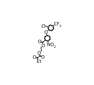 CCC(=O)C(=O)OCCOC(=O)c1cc(Oc2ccc(C(F)(F)F)cc2Cl)ccc1[N+](=O)[O-]